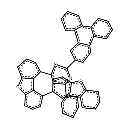 c1ccc(-c2nc(-c3ccc4c5ccccc5c5ccccc5c4c3)nc(-c3cccc4oc5cccc(-c6ccc7oc8ccccc8c7c6)c5c34)n2)cc1